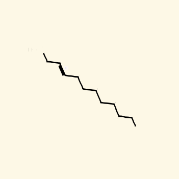 O=C(O)[CH]/C=C/CCCCCCCC(=O)O